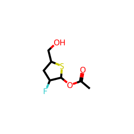 CC(=O)OC1SC(CO)CC1F